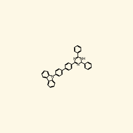 c1ccc(C2=NC(c3ccc(-c4ccc(-n5c6ccccc6c6ccccc65)cc4)cc3)=NC(c3ccccc3)N2)cc1